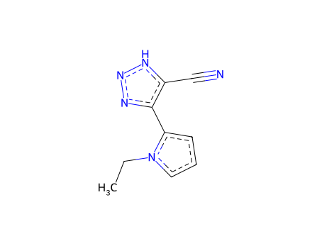 CCn1cccc1-c1nn[nH]c1C#N